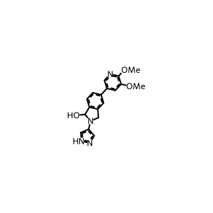 COc1cc(-c2ccc3c(c2)CN(c2cn[nH]c2)C3O)cnc1OC